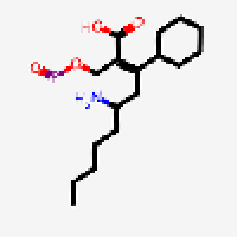 CCCCCC(N)C/C(=C(\COP=O)C(=O)O)C1CCCCC1